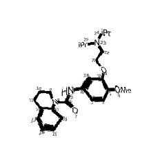 COc1ccc(NC(=O)N2CCCc3ccccc32)cc1OCCN(C(C)C)C(C)C